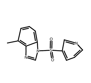 Cc1cccc2c1ncn2S(=O)(=O)c1cccnc1